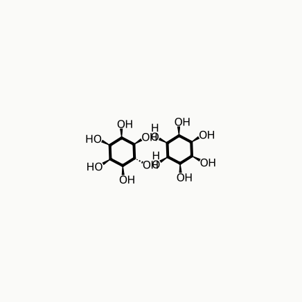 O[C@H]1[C@@H](O)[C@@H](O)[C@@H](O)[C@@H](O)[C@@H]1O.O[C@H]1[C@@H](O)[C@@H](O)[C@@H](O)[C@@H](O)[C@H]1O